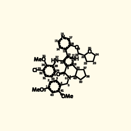 COc1ccc(CN2C(=O)c3c([nH]c(-c4ccncc4OC[C@@H]4CCCO4)c3Nc3cccc(Cl)c3OC)C3CCCC32)c(OC)c1